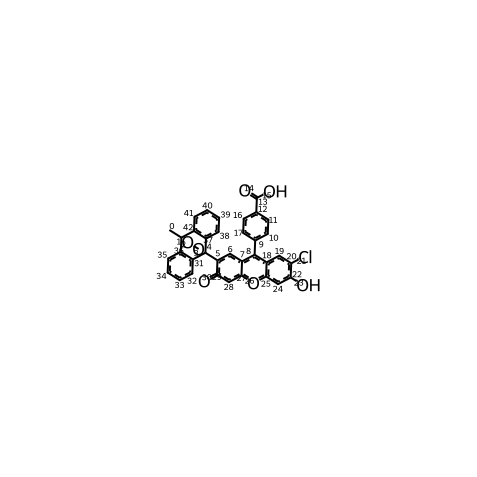 CC12OOC(c3cc4c(-c5ccc(C(=O)O)cc5)c5cc(Cl)c(O)cc5oc-4cc3=O)(c3ccccc31)c1ccccc12